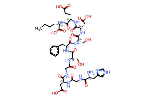 CCCC[C@H](NC(=O)[C@H](CCC(=O)O)NC(=O)[C@H](CC(=O)O)NC(=O)[C@H](CO)NC(=O)[C@H](Cc1ccccc1)NC(=O)[C@H](CO)NC(=O)CNC(=O)[C@H](CC(=O)O)NC(=O)CNC(=O)[C@@H](N)Cc1c[nH]cn1)C(=O)O